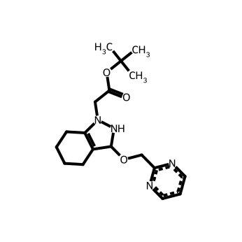 CC(C)(C)OC(=O)CN1NC(OCc2ncccn2)C2=C1CCCC2